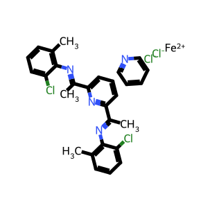 C/C(=N\c1c(C)cccc1Cl)c1cccc(/C(C)=N/c2c(C)cccc2Cl)n1.[Cl-].[Cl-].[Fe+2].c1ccncc1